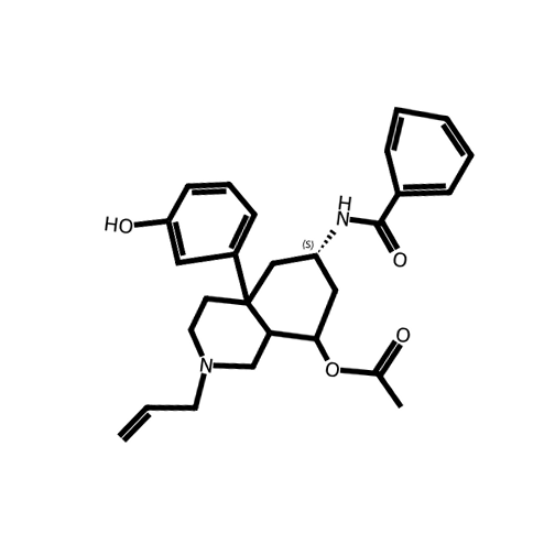 C=CCN1CCC2(c3cccc(O)c3)C[C@H](NC(=O)c3ccccc3)CC(OC(C)=O)C2C1